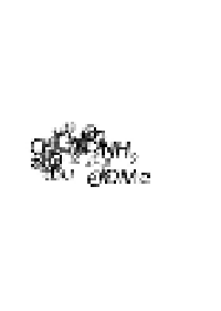 COC(=O)CC[C@@H](C(N)=O)N1Cc2c(ccc(Cl)c2O[Si](C)(C)C(C)(C)C)C1=O